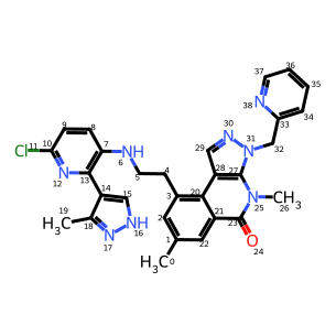 Cc1cc(CCNc2ccc(Cl)nc2-c2c[nH]nc2C)c2c(c1)c(=O)n(C)c1c2cnn1Cc1ccccn1